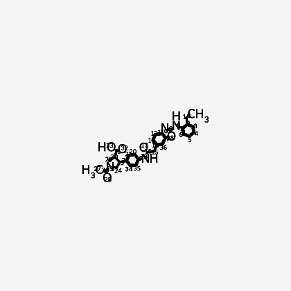 CCc1ccccc1Nc1nc2ccc(CC(=O)Nc3ccc(C4CN(C(C)=O)CC4C(=O)O)cc3)cc2o1